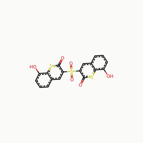 O=c1sc2c(O)cccc2cc1S(=O)(=O)c1cc2cccc(O)c2sc1=O